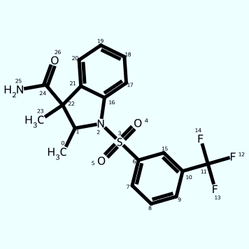 CC1N(S(=O)(=O)c2cccc(C(F)(F)F)c2)c2ccccc2C1(C)C(N)=O